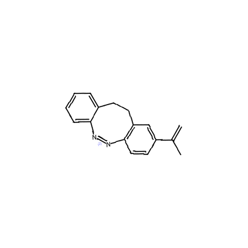 C=C(C)c1ccc2c(c1)CCc1ccccc1/N=N\2